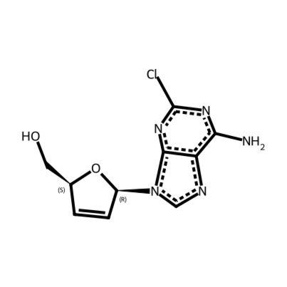 Nc1nc(Cl)nc2c1ncn2[C@H]1C=C[C@@H](CO)O1